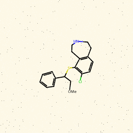 COCC(Sc1c(Cl)ccc2c1CCNCC2)c1ccccc1